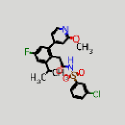 COc1cc(-c2cc(F)cc(C(C)C)c2CC(=O)NS(=O)(=O)c2cccc(Cl)c2)ccn1